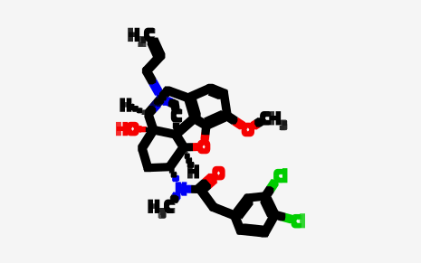 C=CCN1CC[C@]23c4c5ccc(OC)c4O[C@H]2[C@H](N(C)C(=O)Cc2ccc(Cl)c(Cl)c2)CC[C@@]3(O)[C@H]1C5